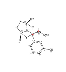 CSCCN1[C@@H]2CC[C@H]1CC(C#N)(c1cncc(C#N)c1)C2